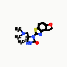 C[C@H]1NC(=O)N(c2nc3c4c(ccc3s2)OCC4)[C@@H]1CN(C)C